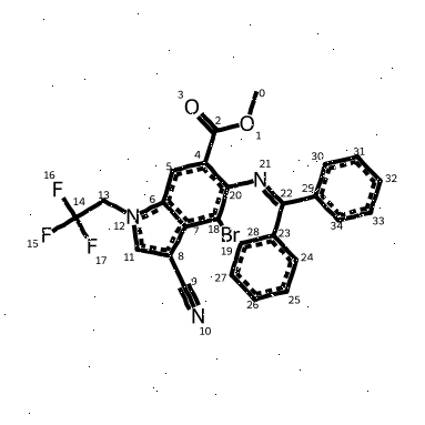 COC(=O)c1cc2c(c(C#N)cn2CC(F)(F)F)c(Br)c1N=C(c1ccccc1)c1ccccc1